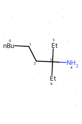 CCCCCCC(N)(CC)CC